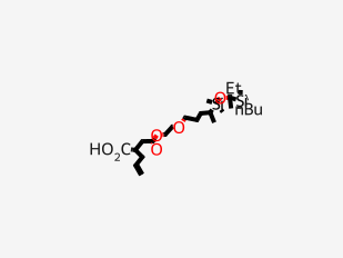 C=CCC(CC(=O)OCCOCCCC(C)[Si](C)(C)OC(C)(CC)[Si](C)(C)CCCC)C(=O)O